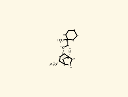 CO[C@@H]1C[C@H](OCC2(C)CCCCC2)[C@H]2COC1O2